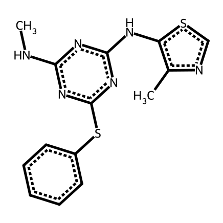 CNc1nc(Nc2scnc2C)nc(Sc2ccccc2)n1